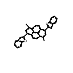 Cc1cc(-c2cc3ccccc3o2)c2ccc3c(C)cc(-c4cc5ccccc5o4)c4ccc1c2c34